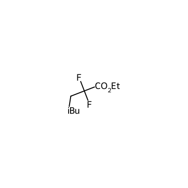 CCOC(=O)C(F)(F)CC(C)CC